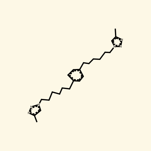 Cc1cn(CCCCCCc2ccc(CCCCCCn3cc(C)nn3)cc2)nn1